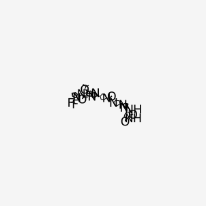 CC(C)Oc1cc2nc(C3CCN(C(=O)CN4CCC(n5ccc(NC6CCC(=O)NC6=O)n5)CC4)CC3)cn2cc1C(=O)Nc1cccc(C(F)F)n1